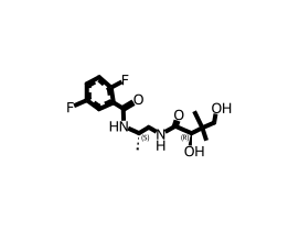 C[C@@H](CNC(=O)[C@H](O)C(C)(C)CO)NC(=O)c1cc(F)ccc1F